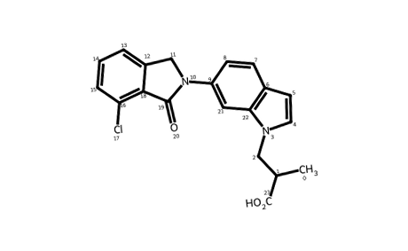 CC(Cn1ccc2ccc(N3Cc4cccc(Cl)c4C3=O)cc21)C(=O)O